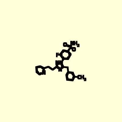 Cc1cccc(Cc2nc(CCc3ccccn3)nn2-c2ccc(S(N)(=O)=O)cc2F)c1